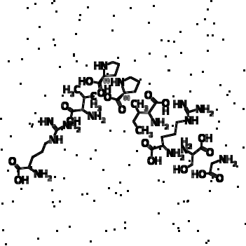 CC(C)C(N)C(=O)O.CCC(C)C(N)C(=O)O.N=C(N)NCCCC(N)C(=O)O.N=C(N)NCCCC(N)C(=O)O.NC(CO)C(=O)O.NCC(=O)O.O=C(O)[C@@H]1CCCN1.O=C(O)[C@@H]1CCCN1